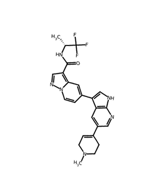 C[C@@H](NC(=O)c1cnn2ccc(-c3c[nH]c4ncc(C5=CCN(C)CC5)cc34)cc12)C(F)(F)F